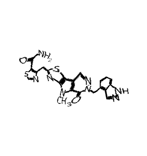 Cn1c2nc(Cc3ncsc3C(N)=O)sc2c2cnn(Cc3cccc4[nH]ncc34)c(=O)c21